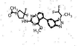 COc1nc(N[C@@H]2CN(C(C)=O)CC2(F)F)nn2ccc(-c3ccc4nnn([C@@H](C)C(F)F)c4c3)c12